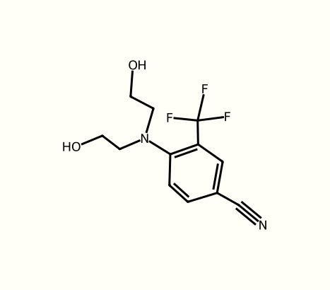 N#Cc1ccc(N(CCO)CCO)c(C(F)(F)F)c1